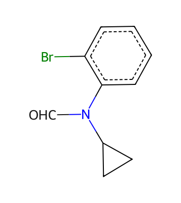 O=CN(c1ccccc1Br)C1CC1